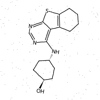 O[C@H]1CC[C@H](Nc2ncnc3sc4c(c23)CCCC4)CC1